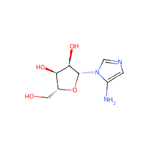 Nc1cncn1[C@@H]1O[C@H](CO)[C@@H](O)[C@H]1O